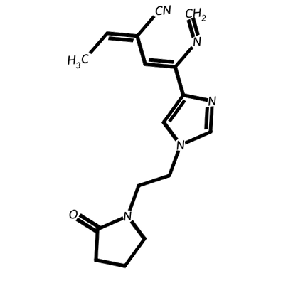 C=N/C(=C\C(C#N)=C/C)c1cn(CCN2CCCC2=O)cn1